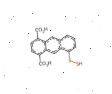 O=C(O)c1ccc(C(=O)O)c2cc3c(SS)cccc3cc12